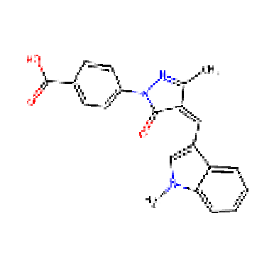 CC1=NN(c2ccc(C(=O)O)cc2)C(=O)C1=Cc1cn(C)c2ccccc12